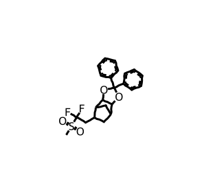 CS(=O)(=O)C(F)(F)CC1CC2CC1C1OC(c3ccccc3)(c3ccccc3)OC21